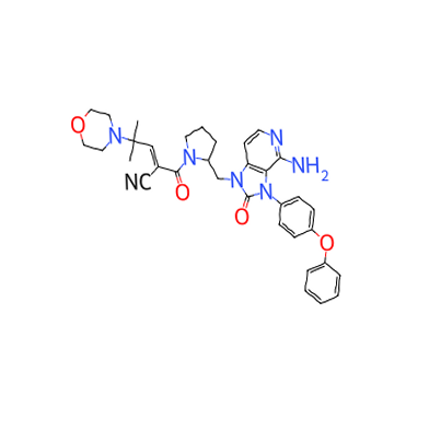 CC(C)(C=C(C#N)C(=O)N1CCCC1Cn1c(=O)n(-c2ccc(Oc3ccccc3)cc2)c2c(N)nccc21)N1CCOCC1